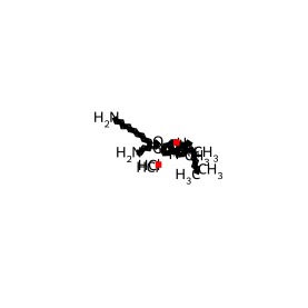 CC(C)CCC[C@@H](C)[C@H]1CC[C@H]2[C@@H]3CC=C4C[C@@H](OC(=O)N(CCCN)CCCCCCCCCCN)CC[C@]4(C)[C@H]3CC[C@]12C.Cl.Cl